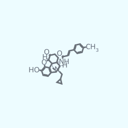 Cc1ccc(/C=C/C(=O)N[C@@]23CCC(=O)[C@@H]4Oc5c(O)ccc6c5[C@@]42CCN(CC2CC2)[C@@H]3C6)cc1